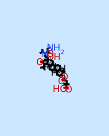 CC(C)C1=C2[C@H]3CC[C@@H]4[C@@]5(C)CC[C@H](OC(=O)CC(C)(C)C(=O)O)C(C)(C)[C@@H]5CC[C@@]4(C)[C@]3(C)CC[C@@]2([C@@H](O)CN(C(=O)CN)C(C)C)CC1=O